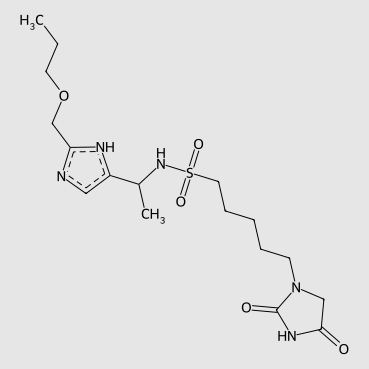 CCCOCc1ncc(C(C)NS(=O)(=O)CCCCCN2CC(=O)NC2=O)[nH]1